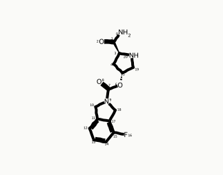 NC(=O)[C@@H]1C[C@@H](OC(=O)N2Cc3cccc(F)c3C2)CN1